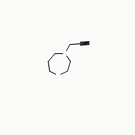 C#CCN1CCCOCC1